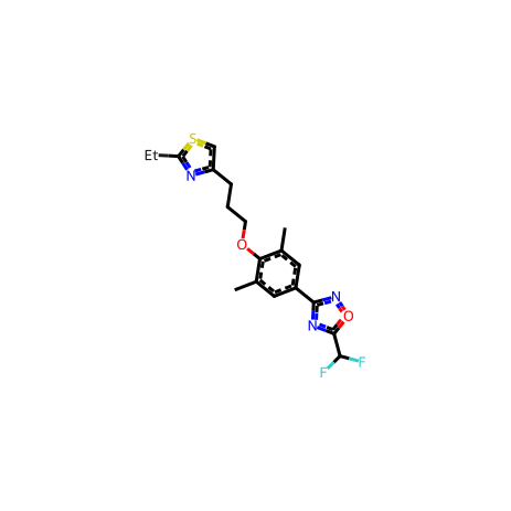 CCc1nc(CCCOc2c(C)cc(-c3noc(C(F)F)n3)cc2C)cs1